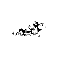 Cc1cncc(NC(=O)c2c(N)nn3cc4c(nc23)CCN(C)C4)c1C1CC1